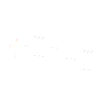 O=S1(=O)COc2cc(OCc3ccccc3)ccc21